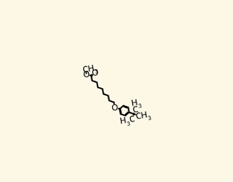 COC(=O)CCCCCCCCOc1ccc(C(C)(C)C)cc1